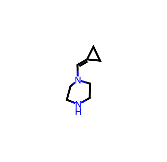 C(=C1CC1)N1CCNCC1